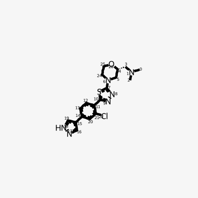 CN(C)C[C@@H]1CN(c2nnc(-c3ccc(-c4cn[nH]c4)cc3Cl)s2)CCO1